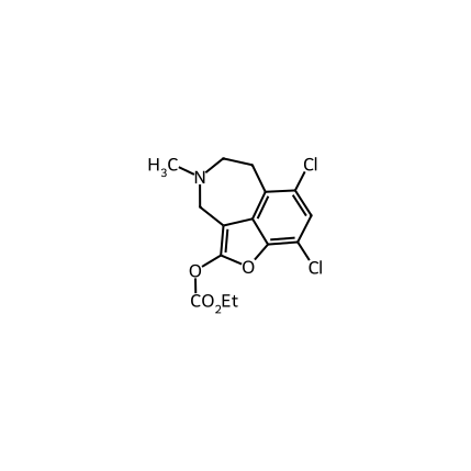 CCOC(=O)Oc1oc2c(Cl)cc(Cl)c3c2c1CN(C)CC3